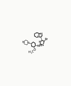 COc1cc(N2CC[N]CC2)ccc1Nc1ncc(Br)c(-c2cnc3ccccn23)n1